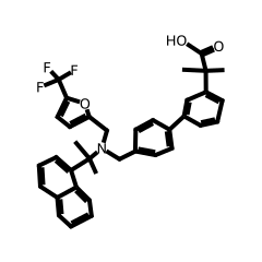 CC(C)(C(=O)O)c1cccc(-c2ccc(CN(Cc3ccc(C(F)(F)F)o3)C(C)(C)c3cccc4ccccc34)cc2)c1